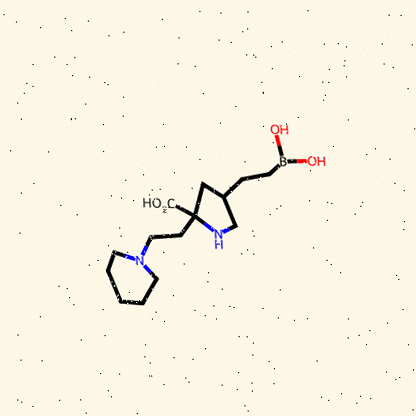 O=C(O)C1(CCN2CCCCC2)CC(CCB(O)O)CN1